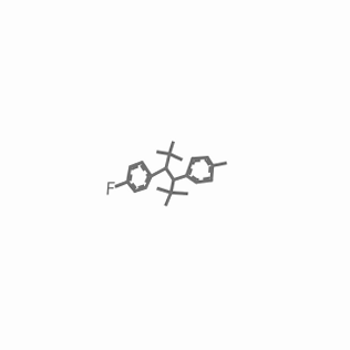 Cc1ccc(C(C(c2ccc(F)cc2)C(C)(C)C)C(C)(C)C)cc1